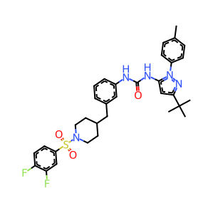 Cc1ccc(-n2nc(C(C)(C)C)cc2NC(=O)Nc2cccc(CC3CCN(S(=O)(=O)c4ccc(F)c(F)c4)CC3)c2)cc1